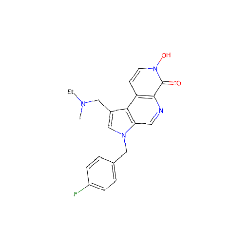 CCN(C)Cc1cn(Cc2ccc(F)cc2)c2cnc3c(=O)n(O)ccc3c12